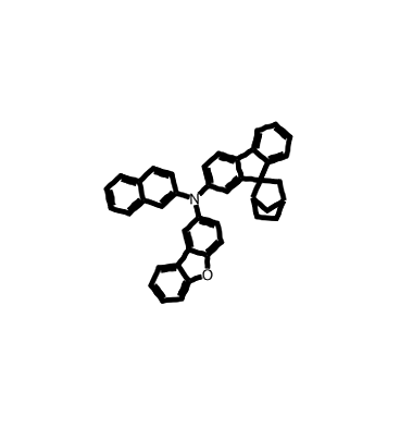 c1ccc2c(c1)-c1ccc(N(c3ccc4ccccc4c3)c3ccc4oc5ccccc5c4c3)cc1C21CC2CCC1C2